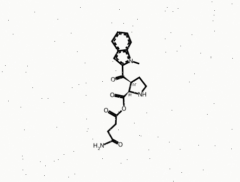 Cn1c(C(=O)[C@H]2CCN[C@H]2C(=O)OC(=O)CCC(N)=O)cc2ccccc21